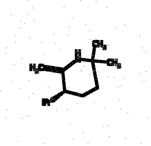 C=C1NC(C)(C)CC[C@H]1C(C)C